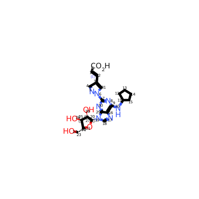 O=C(O)/C=C/c1cnn(-c2nc(NC3CCCC3)c3ncn([C@@H]4O[C@H](CO)[C@@H](O)[C@@H]4O)c3n2)c1